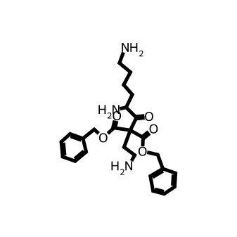 NCCCCC(N)C(=O)C(CCN)(C(=O)OCc1ccccc1)C(=O)OCc1ccccc1